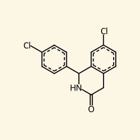 O=C1Cc2ccc(Cl)cc2C(c2ccc(Cl)cc2)N1